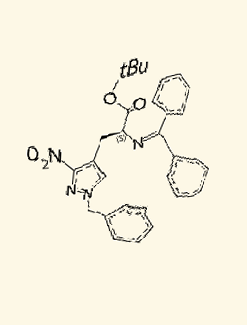 CC(C)(C)OC(=O)[C@H](Cc1cn(Cc2ccccc2)nc1[N+](=O)[O-])N=C(c1ccccc1)c1ccccc1